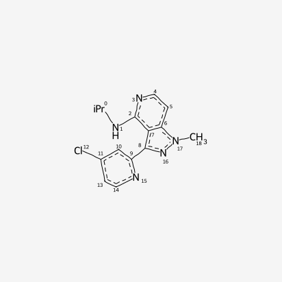 CC(C)Nc1nccc2c1c(-c1cc(Cl)ccn1)nn2C